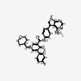 Cn1cc(-c2ccc(NC(=O)c3cn(CC4CCOCC4)cc(-c4ccc(F)cc4F)c3=O)cc2)c2c(N)ncnc21